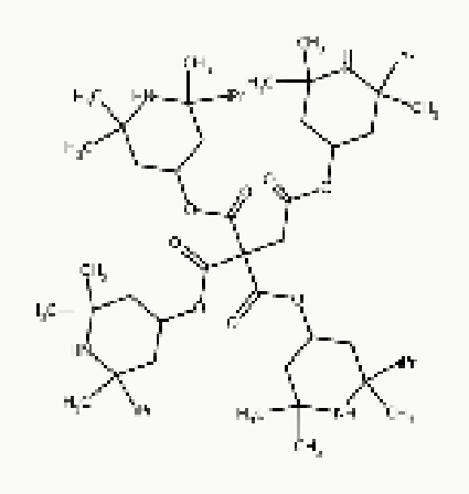 CC(C)C1(C)CC(OC(=O)CC(C(=O)OC2CC(C)(C)NC(C)(C(C)C)C2)(C(=O)OC2CC(C)(C)NC(C)(C(C)C)C2)C(=O)OC2CC(C)(C)NC(C)(C(C)C)C2)CC(C)(C)N1